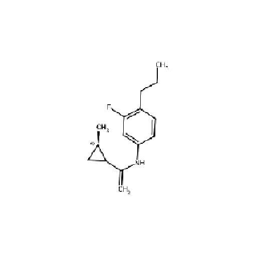 C=C(Nc1ccc(CCC)c(F)c1)C1C[C@H]1C